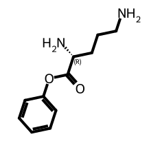 NCCC[C@@H](N)C(=O)Oc1ccccc1